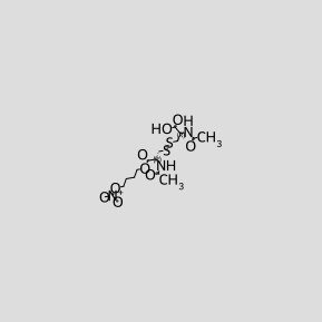 CC(=O)N[C@@H](CSSC[C@H](NC(C)=O)C(=O)OCCCCO[N+](=O)[O-])C(=O)O